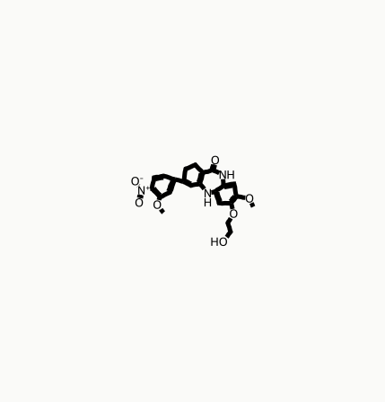 COc1cc2c(cc1OCCO)NC1=C(CCC(c3ccc([N+](=O)[O-])c(OC)c3)=C1)C(=O)N2